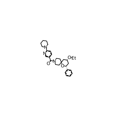 CCO[C@@H]1C[C@H](c2ccccc2)OC2(CCN(C(=O)c3ccc(N4CCCCC4)nc3)CC2)C1